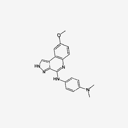 COc1ccc2nc(Nc3ccc(N(C)C)cc3)c3n[nH]cc3c2c1